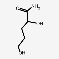 NC(=O)C(O)CCCO